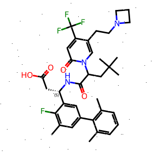 Cc1cc(-c2c(C)cccc2C)cc([C@H](CC(=O)O)NC(=O)C(CC(C)(C)C)n2cc(CCN3CCC3)c(C(F)(F)F)cc2=O)c1F